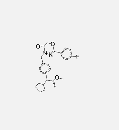 C=C(OC)C(c1ccc(CN2N=C(c3ccc(F)cc3)OCC2=O)cc1)C1CCCC1